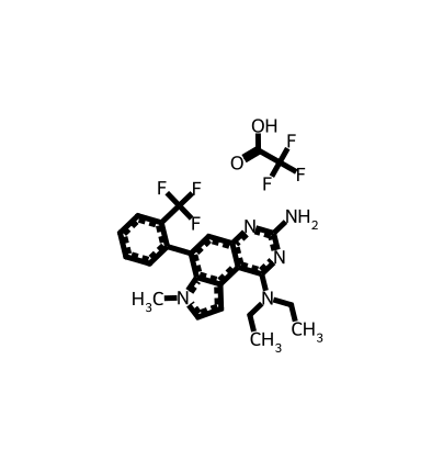 CCN(CC)c1nc(N)nc2cc(-c3ccccc3C(F)(F)F)c3c(ccn3C)c12.O=C(O)C(F)(F)F